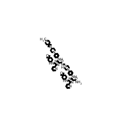 CN1CCC2(CC1)CN(C1CCN(c3ccc(Nc4nc(NC5CCC6(CC5)COC6)c(-c5ccccn5)nc4C(=O)NCN4CCN(c5ccc(Nc6nc(NC7CCC8(CC7)COC8)c(-c7ccccn7)nc6C(N)=O)cc5)CC4)cc3)CC1)C2